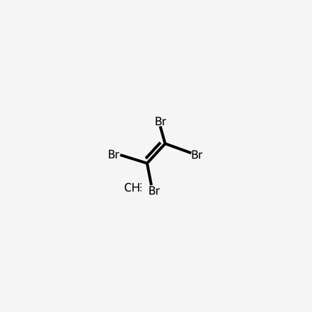 BrC(Br)=C(Br)Br.[CH]